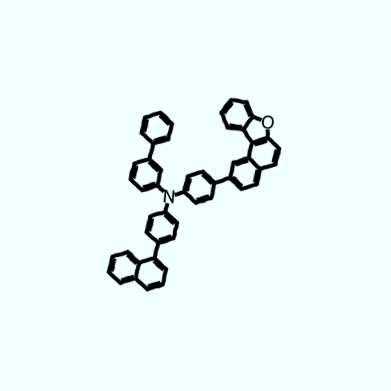 c1ccc(-c2cccc(N(c3ccc(-c4ccc5ccc6oc7ccccc7c6c5c4)cc3)c3ccc(-c4cccc5ccccc45)cc3)c2)cc1